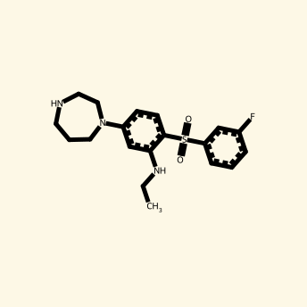 CCNc1cc(N2CCCNCC2)ccc1S(=O)(=O)c1cccc(F)c1